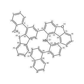 Cc1ccccc1-c1cc(-c2ccc3oc4ccccc4c3c2Nc2ccccc2-c2cccc3ccccc23)cc2c1sc1ccccc12